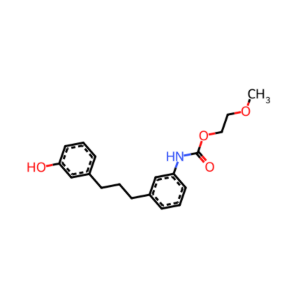 COCCOC(=O)Nc1cccc(CCCc2cccc(O)c2)c1